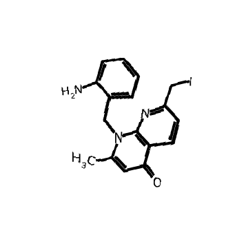 Cc1cc(=O)c2ccc(CI)nc2n1Cc1ccccc1N